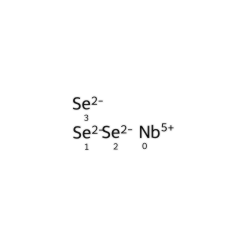 [Nb+5].[Se-2].[Se-2].[Se-2]